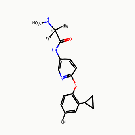 CC[C@](NC(=O)O)(C(=O)Nc1ccc(Oc2ccc(C#N)cc2C2CC2)nc1)C(C)(C)C